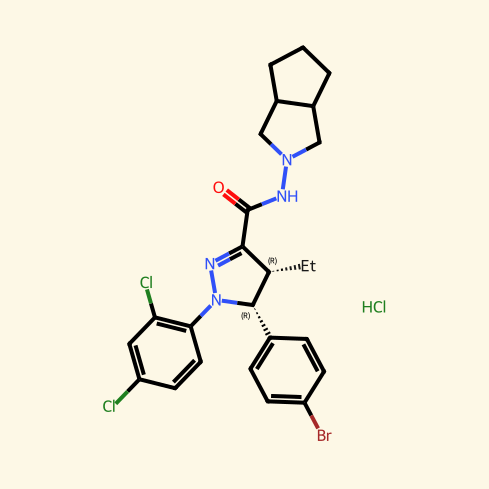 CC[C@H]1C(C(=O)NN2CC3CCCC3C2)=NN(c2ccc(Cl)cc2Cl)[C@H]1c1ccc(Br)cc1.Cl